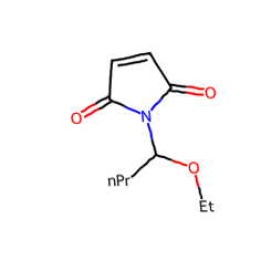 CCCC(OCC)N1C(=O)C=CC1=O